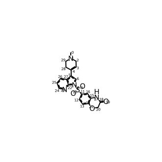 CN1CC=C(c2cn(S(=O)(=O)c3ccc4c(c3)NC(=O)CO4)c3ncccc23)CC1